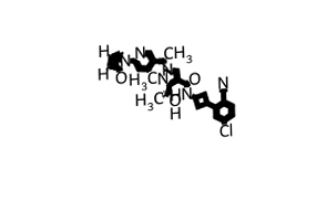 Cc1cc(N2C(=O)[C@@H]3C4C2[C@@H]43)ncc1[C@@H](C)n1cc(C(=O)NC2CC(c3cc(Cl)ccc3C#N)C2)c([C@@H](C)O)n1